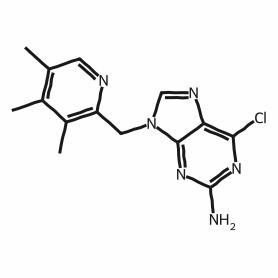 Cc1cnc(Cn2cnc3c(Cl)nc(N)nc32)c(C)c1C